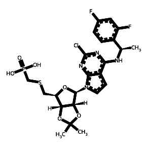 C[C@@H](Nc1nc(Cl)nc2c1ccn2[C@@H]1O[C@H](CSCP(=O)(O)O)[C@H]2OC(C)(C)O[C@H]21)c1ccc(F)cc1F